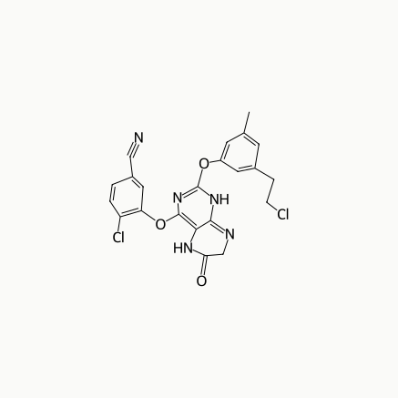 Cc1cc(CCCl)cc(OC2=NC(Oc3cc(C#N)ccc3Cl)=C3NC(=O)CN=C3N2)c1